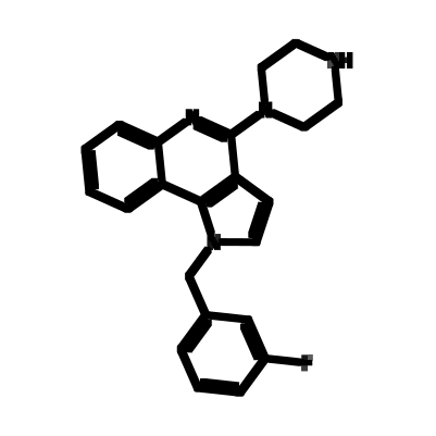 Fc1cccc(Cn2ccc3c(N4CCNCC4)nc4ccccc4c32)c1